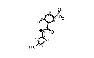 Cc1cnc(NC(=O)c2cc([N+](=O)[O-])ccc2I)s1